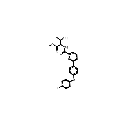 COC(=O)C(NC(=O)c1cccc(-c2ccc(Oc3ccc(F)cc3)cc2)n1)C(C)O